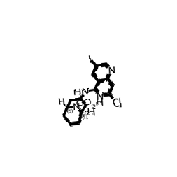 O=C(O)N1[C@@H]2CCC[C@H]1CC(Nc1nc(Cl)cc3ncc(I)cc13)C2